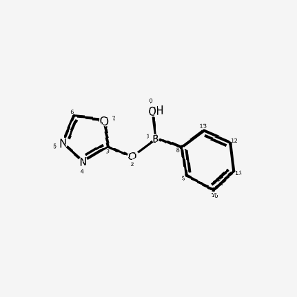 OB(Oc1nnco1)c1ccccc1